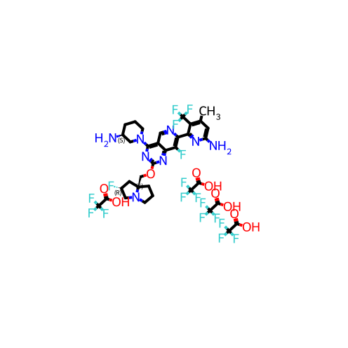 Cc1cc(N)nc(-c2ncc3c(N4CCC[C@H](N)C4)nc(OC[C@@]45CCCN4C[C@H](F)C5)nc3c2F)c1C(F)(F)F.O=C(O)C(F)(F)F.O=C(O)C(F)(F)F.O=C(O)C(F)(F)F.O=C(O)C(F)(F)F